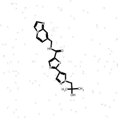 CC(C)(O)Cn1cc(-c2ncc(C(=O)NCc3ccn4ccnc4c3)s2)cn1